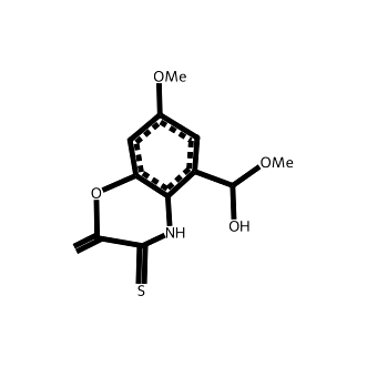 C=C1Oc2cc(OC)cc(C(O)OC)c2NC1=S